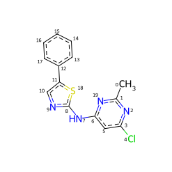 Cc1nc(Cl)cc(Nc2ncc(-c3ccccc3)s2)n1